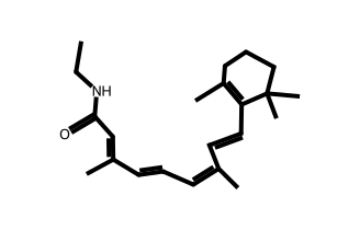 CCNC(=O)C=C(C)C=C/C=C(/C)C=CC1=C(C)CCCC1(C)C